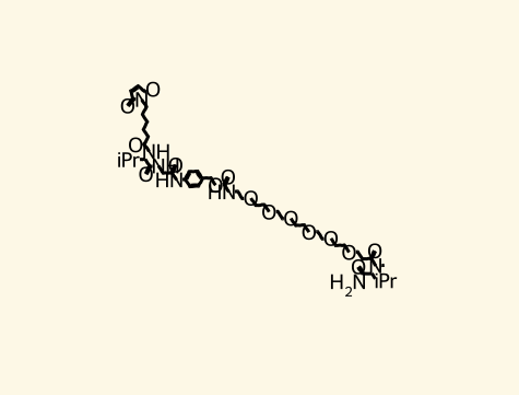 CC(C)C(NC(=O)CCCCCN1C(=O)C=CC1=O)C(=O)NCC(=O)Nc1ccc(COC(=O)NCCOCCOCCOCCOCCOCCOCCC(=O)N(C)C(C(N)=O)C(C)C)cc1